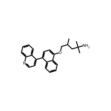 CC(COc1ccc(-c2ccnc3ccccc23)c2ccccc12)CC(C)(C)N